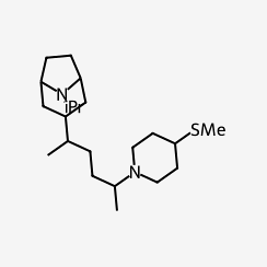 CSC1CCN(C(C)CCC(C)C2CC3CCC(C2)N3C(C)C)CC1